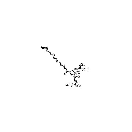 C#CCOCCOCCOCCOCCC(=O)N1C[C@@H](C(=O)CN[C@@H](CCCC)C(=O)O)[C@H](C(=O)N[C@@H](CCCC)C(=O)O)C1